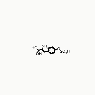 N[C@@H](Cc1ccc(OS(=O)(=O)O)cc1)C(O)O